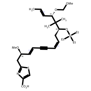 C/C=C/[C@H](OCOC)C(C)(C)[C@H](C/C=C\C#C/C=C/[C@@H](Cc1nc(C(=O)O)cs1)OC)O[Si](CC)(CC)CC